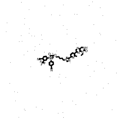 CCN1C(=O)NCc2ncc(-c3ccc(-c4ncn(CCCCCO[C@@](C)(COc5ccc(C#N)cc5)C(=O)Nc5ccc(C#N)c(C(F)(F)F)c5)n4)nc3C)nc21